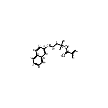 C=C(C)C(=O)OC(C)(C)CCOc1ccc2ccccc2c1